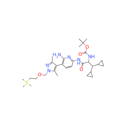 Cc1nn(COCCS(C)(C)C)c(C)c1-c1ccc(NC(=O)C(NC(=O)OC(C)(C)C)C(C2CC2)C2CC2)nc1N